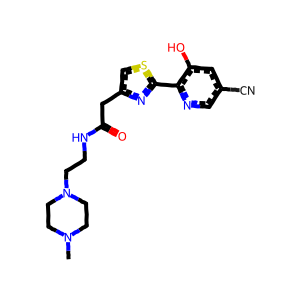 CN1CCN(CCNC(=O)Cc2csc(-c3ncc(C#N)cc3O)n2)CC1